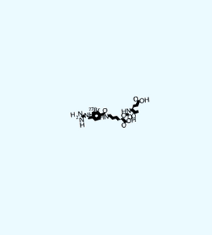 CC(=O)[C@H](CCC(=O)O)NC(=O)O[C@@H](CCCCNC(=O)c1ccc(CNC(=N)N)c([77Br])c1)C(=O)O